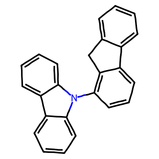 c1ccc2c(c1)Cc1c-2cccc1-n1c2ccccc2c2ccccc21